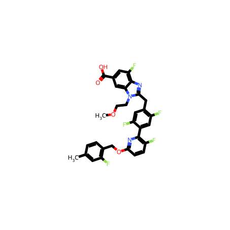 COCCn1c(Cc2cc(F)c(-c3nc(OCc4ccc(C)cc4F)ccc3F)cc2F)nc2c(F)cc(C(=O)O)cc21